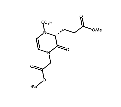 COC(=O)CC[C@@H]1C(=O)N(CC(=O)OC(C)(C)C)C=CN1C(=O)O